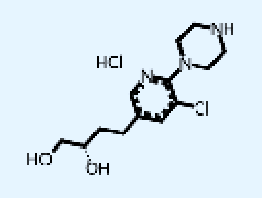 Cl.OC[C@@H](O)CCc1cnc(N2CCNCC2)c(Cl)c1